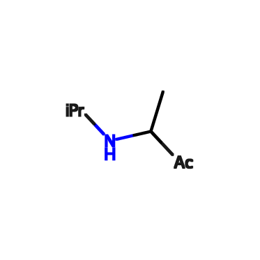 CC(=O)C(C)NC(C)C